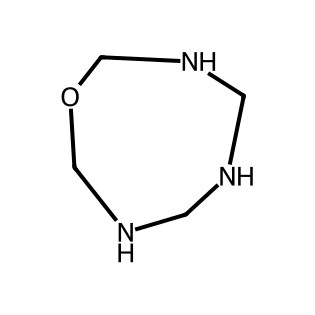 C1NCNCOCN1